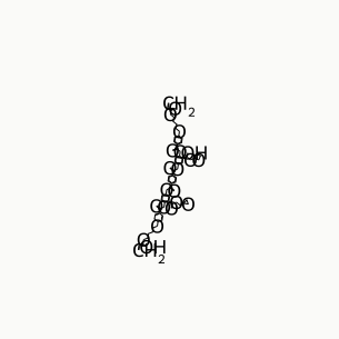 C=CC(=O)OCCCCOc1ccc(C(=O)Oc2ccc(OC(=O)c3ccc(C(=O)Oc4ccc(OC(=O)C5=CCC(OCCCCOC(O)C=C)C=C5)c(C(=O)OCC5CO5)c4)cc3)cc2C(O)OC2CCO2)cc1